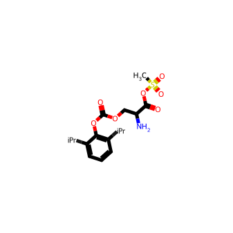 CC(C)c1cccc(C(C)C)c1OC(=O)OCC(N)C(=O)OS(C)(=O)=O